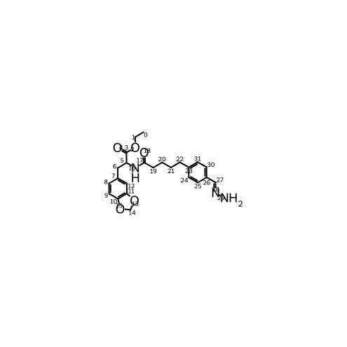 CCOC(=O)C(Cc1ccc2c(c1)OCO2)NC(=O)CCCCc1ccc(C=NN)cc1